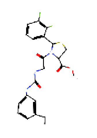 CC(C)(C)OC(=O)C1CSC(c2cccc(F)c2F)N1C(=O)CNC(=O)Nc1cccc(CC(=O)O)c1